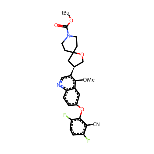 COc1c([C@@H]2COC3(CCN(C(=O)OC(C)(C)C)CC3)C2)cnc2ccc(Oc3c(F)ccc(F)c3C#N)cc12